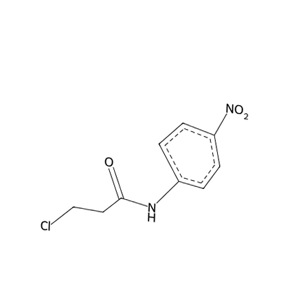 O=C(CCCl)Nc1ccc([N+](=O)[O-])cc1